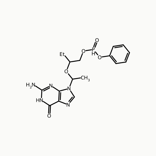 CCC(CO[PH](=O)Oc1ccccc1)OC(C)n1cnc2c(=O)[nH]c(N)nc21